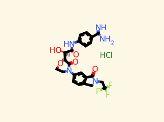 Cl.N=C(N)c1ccc(NC(=O)[C@H](O)[C@H]2OCCN(c3ccc4c(c3)C(=O)N(CC(F)(F)F)C4)C2=O)cc1